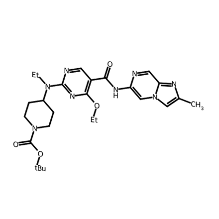 CCOc1nc(N(CC)C2CCN(C(=O)OC(C)(C)C)CC2)ncc1C(=O)Nc1cn2cc(C)nc2cn1